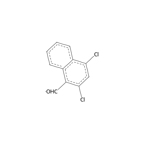 O=[C]c1c(Cl)cc(Cl)c2ccccc12